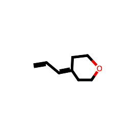 C=CC=C1CCOCC1